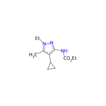 CCOC(=O)Nc1nn(CC)c(C)c1C1CC1